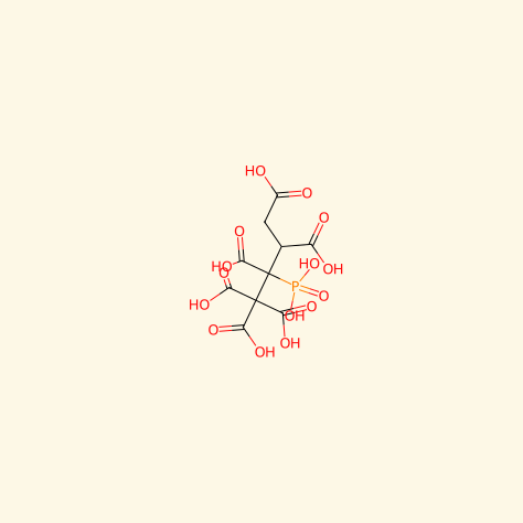 O=C(O)CC(C(=O)O)C(C(=O)O)(C(C(=O)O)(C(=O)O)C(=O)O)P(=O)(O)O